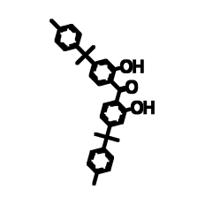 Cc1ccc(C(C)(C)c2ccc(C(=O)c3ccc(C(C)(C)c4ccc(C)cc4)cc3O)c(O)c2)cc1